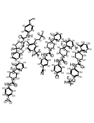 CCc1ccc(NC(=O)[N+]2(Cc3ccc(C(F)(F)F)cc3CCC(C)(C)C)CCC(F)(c3ncccc3C)CC2)cc1.Cc1cccnc1C1(F)CCN(C(=O)Nc2ccc(C#N)cc2)CC1.Cc1cccnc1C1(F)CCN(C(=O)Nc2ccc(Cl)cc2)CC1.Cc1cccnc1C1(F)CCN(C(=O)Nc2ccc(N(C)C)cc2)CC1.Cc1cccnc1C1(F)CCN(C(=O)Nc2ccc(OC(F)(F)F)cc2)CC1